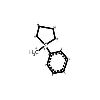 CS1(c2ccccc2)CCCC1